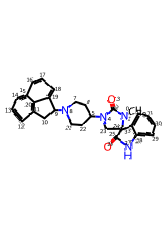 CN1C(=O)N(C2CCN(C3Cc4cccc5cccc3c45)CC2)CC12C(=O)Nc1ccccc12